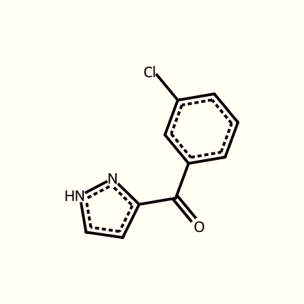 O=C(c1cccc(Cl)c1)c1cc[nH]n1